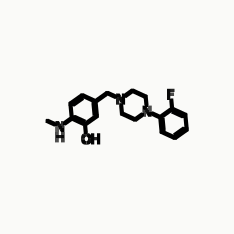 CNc1ccc(CN2CCN(c3ccccc3F)CC2)cc1O